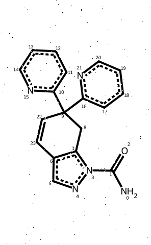 NC(=O)n1n[c]c2c1CC(c1ccccn1)(c1ccccn1)C=C2